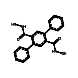 O=C(NO)c1cc(-c2ccccc2)c(C(=O)NO)cc1-c1ccccc1